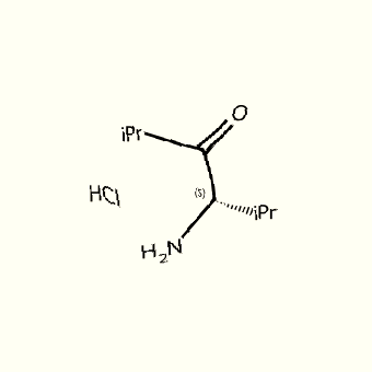 CC(C)C(=O)[C@@H](N)C(C)C.Cl